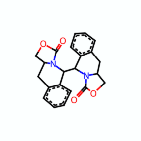 O=C1OCC2Cc3ccccc3C(C3c4ccccc4CC4COC(=O)N43)N12